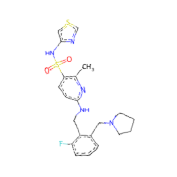 Cc1nc(NCc2c(F)cccc2CN2CCCC2)ccc1S(=O)(=O)Nc1cscn1